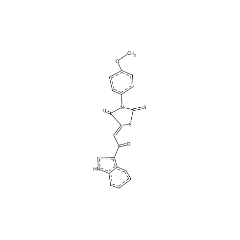 COc1ccc(N2C(=O)/C(=C/C(=O)c3c[nH]c4ccccc34)SC2=S)cc1